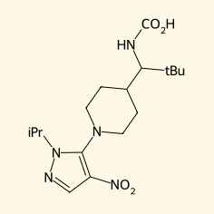 CC(C)n1ncc([N+](=O)[O-])c1N1CCC(C(NC(=O)O)C(C)(C)C)CC1